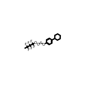 CC(F)(F)C(F)(F)C(F)(F)OOSOc1ccc(C2CCCCC2)cc1